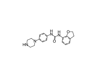 O=C(Nc1ccc(N2CCNCC2)cc1)Nc1cccc2c1OCC2